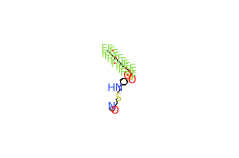 O=S(=O)(c1ccc(NCCSCCC2=NCCO2)cc1)C(F)(F)C(F)(F)C(F)(F)C(F)(F)C(F)(F)C(F)(F)C(F)(F)C(F)(F)C(F)(F)C(F)(F)F